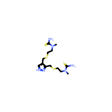 CN(CCSCc1c[nH]nc1CSCCN(C)C(N)=S)C(N)=S